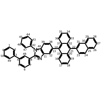 c1ccc(-c2cccc(-c3nc4cc(-c5c6ccccc6c(-c6ccc7ccccc7c6)c6ccccc56)ccc4n3-c3ccccc3)c2)cc1